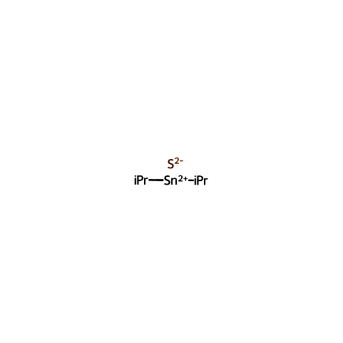 C[CH](C)[Sn+2][CH](C)C.[S-2]